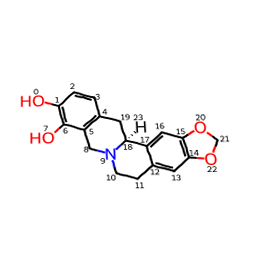 Oc1ccc2c(c1O)CN1CCc3cc4c(cc3[C@@H]1C2)OCO4